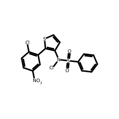 O=[N+]([O-])c1ccc(Cl)c(-c2sccc2N(Cl)S(=O)(=O)c2ccccc2)c1